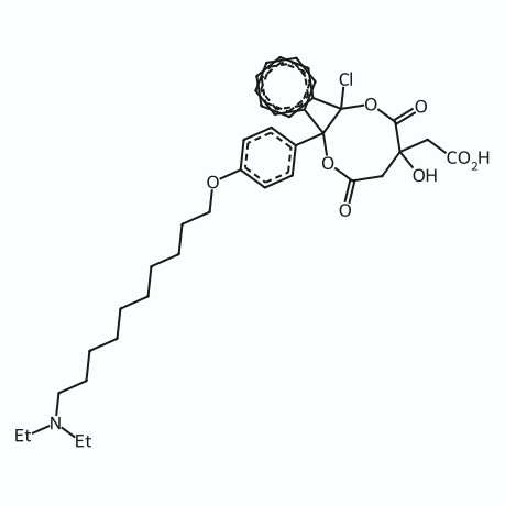 CCN(CC)CCCCCCCCCCOc1ccc(C2(c3ccccc3)OC(=O)CC(O)(CC(=O)O)C(=O)OC2(Cl)c2ccccc2)cc1